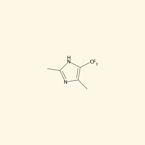 Cc1nc(C)c(C(F)(F)F)[nH]1